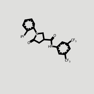 CC(C)c1ccccc1N1CC(C(=O)Nc2cc(C(F)(F)F)cc(C(F)(F)F)c2)CC1=O